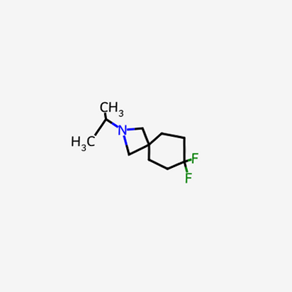 CC(C)N1CC2(CCC(F)(F)CC2)C1